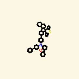 C1=CC2C=CC3=C(c4ccc(-c5ccc(N(c6ccc(-c7ccccc7)cc6)c6cccc7c6oc6ccccc67)cc5)cc4C34c3ccccc3Sc3ccccc34)C2C=C1